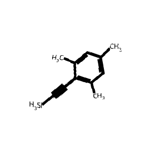 Cc1cc(C)c(C#C[SiH3])c(C)c1